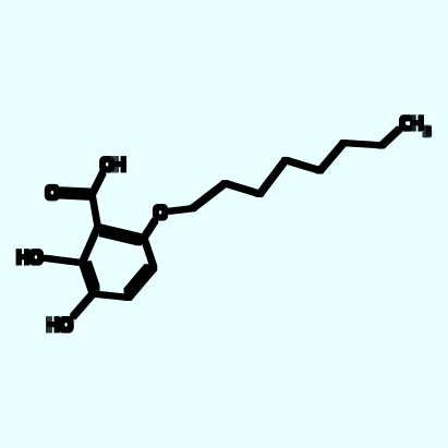 CCCCCCCCOc1ccc(O)c(O)c1C(=O)O